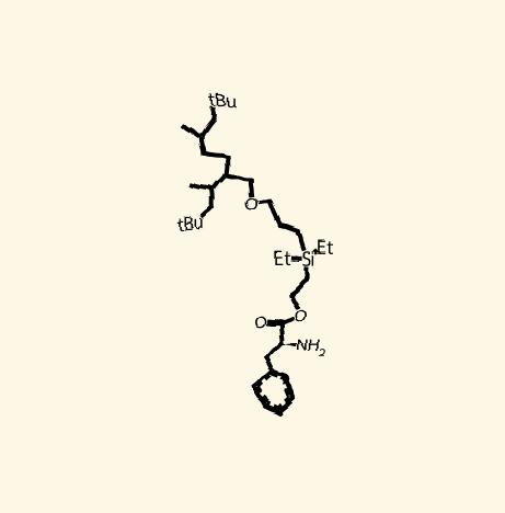 CC[Si](CC)(CCCOCC(CCC(C)CC(C)(C)C)C(C)CC(C)(C)C)CCOC(=O)[C@@H](N)Cc1ccccc1